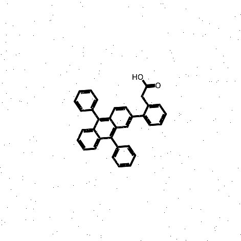 O=C(O)Cc1ccccc1-c1ccc2c(-c3ccccc3)c3ccccc3c(-c3ccccc3)c2c1